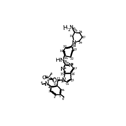 Cc1ccc(N(C)S(C)(=O)=O)c(Cn2ccc3cnc(Nc4ccc(N5CCCC(N)C5)cc4)nc32)c1